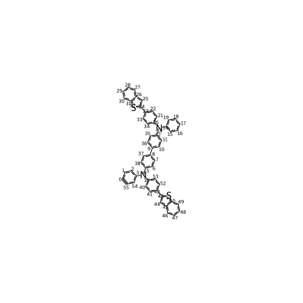 c1ccc(N(c2ccc(-c3ccc(N(c4ccccc4)c4ccc(-c5cc6ccccc6s5)cc4)cc3)cc2)c2ccc(-c3cc4ccccc4s3)cc2)cc#1